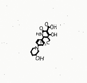 CCc1c(-c2ccc(N3CCC[C@@H](O)C3)cc2)[nH]c(=O)c(C(=O)O)c1O